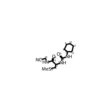 CSCC(NC(=O)NC1CCCCC1)C(=O)NCC#N